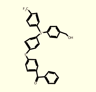 O=C(c1ccccc1)c1ccc(Sc2ccc([S+](c3ccc(CO)cc3)c3ccc(C(F)(F)F)cc3)cc2)cc1